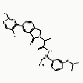 CC(C(=O)N[C@H](CO)c1cccc(OC(F)F)c1)N1Cc2ncc(-c3nc(Cl)ncc3Cl)cc2C1=O